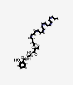 CC/C=C\C/C=C\C/C=C\C/C=C\C/C=C\C/C=C\CCCOC(CC)C(=O)NCCNC(=O)c1ccccc1O